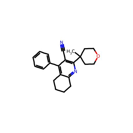 CC1(c2nc3c(c(-c4ccccc4)c2C#N)CCCC3)CCOCC1